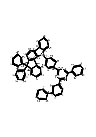 c1ccc(-c2cccc(-c3nc(-c4ccccc4)nc(-c4ccc(-n5c6ccccc6c6ccc7c(c65)-c5ccccc5C7(c5ccccc5)c5ccccc5)cc4)n3)c2)cc1